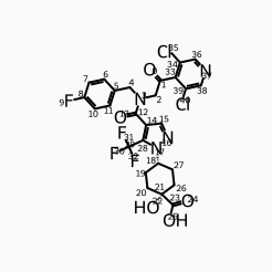 O=C(CN(Cc1ccc(F)cc1)C(=O)c1cnn([C@H]2CC[C@](O)(C(=O)O)CC2)c1C(F)(F)F)c1c(Cl)cncc1Cl